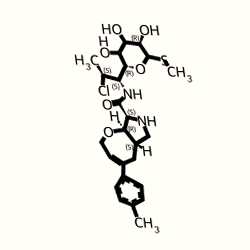 CSC1O[C@H]([C@H](NC(=O)[C@H]2NC[C@@H]3CC(c4ccc(C)cc4)=CCO[C@H]32)[C@H](C)Cl)C(O)C(O)[C@H]1O